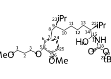 COCCCOc1cc(C[C@H](CCCC[C@H]([C](O)NC(=O)OC(C)(C)C)C(C)C)C(C)C)ccc1OC